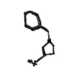 [CH2]C1CCN(Cc2ccccc2)C1